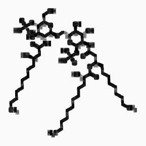 CCCCCCCCCC[C@H](O)C(=O)O[C@H](CCCCCCCCC)CC(=O)N[C@H]1[C@@H](OP(=O)(O)O)O[C@H](CO[C@@H]2O[C@H](CO)[C@@H](OP(=O)(O)O)[C@H](O)[C@H]2NC(=O)C[C@H](O)CCCCCCCCC)[C@@H](O)[C@@H]1O